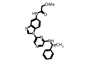 COCC(=O)Nc1ccc2c(c1)ncn2-c1cncc(N[C@@H](C)c2ccccc2)n1